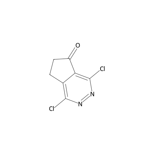 O=C1CCc2c(Cl)nnc(Cl)c21